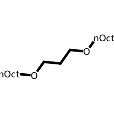 CCCCCCCCOCCCOCCCCCCCC